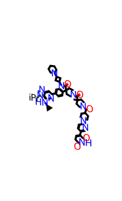 C\N=C(/C=c1/ncn(C(C)C)/c1=C\NC1CC1)c1ccc2c(c1)N(C1CC(N3CCCCC3)C1)C(=O)C21CCN(C(=O)C2(C)CCN(C(=O)C3CCN(c4ccc(C5=CCC(=O)NC5=O)cn4)CC3)CC2)CC1